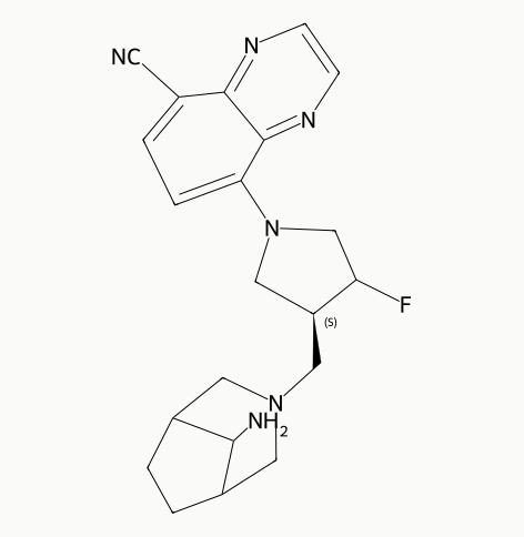 N#Cc1ccc(N2CC(F)[C@@H](CN3CC4CCC(C3)C4N)C2)c2nccnc12